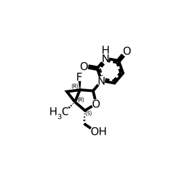 C[C@]12C[C@]1(F)C(n1ccc(=O)[nH]c1=O)O[C@@H]2CO